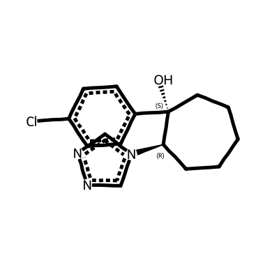 O[C@]1(c2ccc(Cl)cc2)CCCCC[C@H]1n1cnnc1